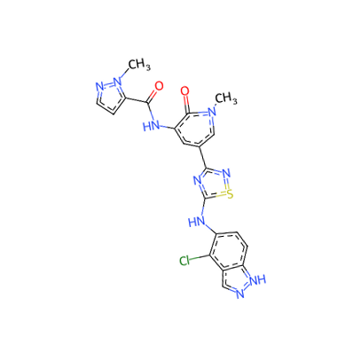 Cn1nccc1C(=O)Nc1cc(-c2nsc(Nc3ccc4[nH]ncc4c3Cl)n2)cn(C)c1=O